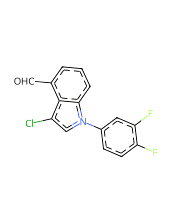 O=Cc1cccc2c1c(Cl)cn2-c1ccc(F)c(F)c1